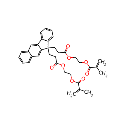 C=C(C)C(=O)OCCOC(=O)CCC1(CCC(=O)OCCOC(=O)C(=C)C)c2ccccc2-c2cc3ccccc3cc21